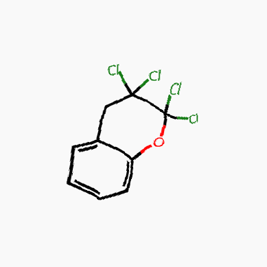 ClC1(Cl)Cc2ccccc2OC1(Cl)Cl